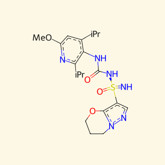 COc1cc(C(C)C)c(NC(=O)N[S@](=N)(=O)c2cnn3c2OCCC3)c(C(C)C)n1